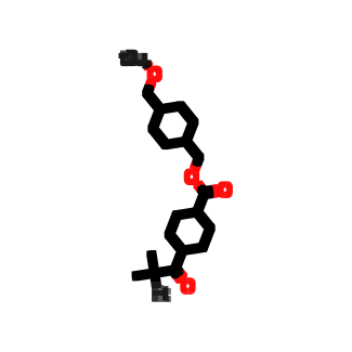 CCC(C)(C)C(=O)C1CCC(C(=O)OCC2CCC(COC(C)(C)C)CC2)CC1